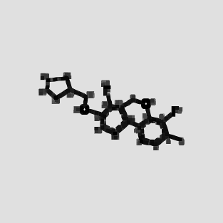 Cc1ccc2c(c1F)OCc1c-2ccc(OCC2CCCC2)c1F